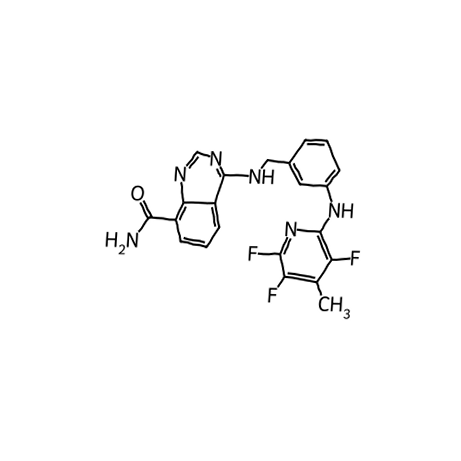 Cc1c(F)c(F)nc(Nc2cccc(CNc3ncnc4c(C(N)=O)cccc34)c2)c1F